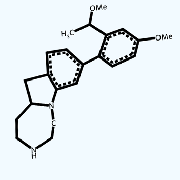 COc1ccc(-c2ccc3c(c2)N2CCNCCC2C3)c(C(C)OC)c1